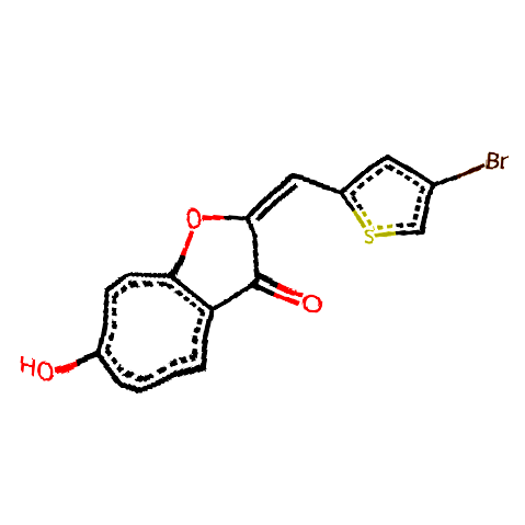 O=C1C(=Cc2cc(Br)cs2)Oc2cc(O)ccc21